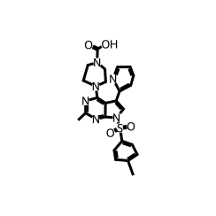 Cc1ccc(S(=O)(=O)n2cc(-c3ccccn3)c3c(N4CCN(C(=O)O)CC4)nc(C)nc32)cc1